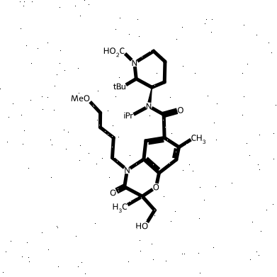 COCCCCN1C(=O)C(C)(CO)Oc2cc(C)c(C(=O)N(C(C)C)[C@@H]3CCCN(C(=O)O)C3C(C)(C)C)cc21